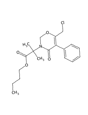 CCCCOC(=O)C(C)(C)N1COC(CCl)=C(c2ccccc2)C1=O